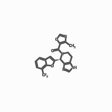 Cc1ncoc1C(=O)N1CCc2[nH]cnc2[C@@H]1c1cc2cccc(C(F)(F)F)c2o1